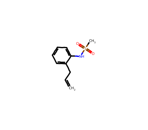 C=CCc1ccccc1NS(C)(=O)=O